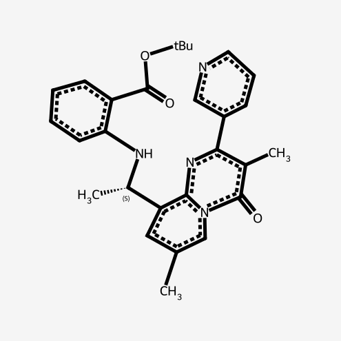 Cc1cc([C@H](C)Nc2ccccc2C(=O)OC(C)(C)C)c2nc(-c3cccnc3)c(C)c(=O)n2c1